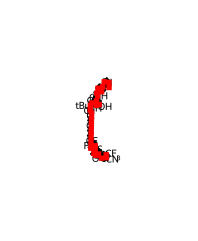 Cc1ncsc1-c1ccc([C@H](C)NC(=O)[C@@H]2C[C@@H](O)CN2C(=O)C(NC(=O)COCCCOCCCCCOc2c(F)cc(N3C(=S)N(c4ccc(C#N)c(C(F)(F)F)c4)C(=O)C3(C)C)cc2F)C(C)(C)C)cc1